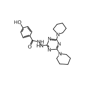 O=C(NNc1nc(N2CCCCC2)nc(N2CCCCC2)n1)c1ccc(O)cc1